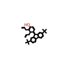 C=CCC1=C(O)C=CC(=C2c3cc(C(C)(C)C)ccc3-c3ccc(C(C)(C)C)cc32)C1CC=C